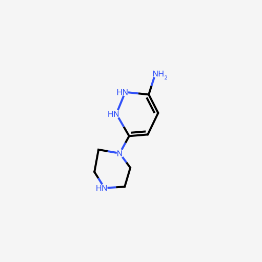 NC1=CC=C(N2CCNCC2)NN1